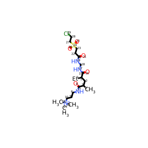 CCC(CC(C)C(=O)NCCC[N+](C)(C)C)C(=O)NCNC(=O)CCS(=O)(=O)CCCl